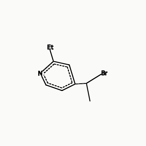 CCc1cc(C(C)Br)ccn1